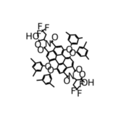 Cc1cc(C)cc(Oc2cc3c4c(cc(Oc5cc(C)cc(C)c5)c5c6c(Oc7cc(C)cc(C)c7)cc7c8c(cc(Oc9cc(C)cc(C)c9)c(c2c45)c86)C(=O)N(C(CC(F)(F)F)C(=O)O)C7=O)C(=O)N(C(CC(F)(F)F)C(=O)O)C3=O)c1